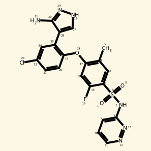 Cc1cc(S(=O)(=O)Nc2cccnn2)c(F)cc1Oc1ccc(Cl)cc1-c1c[nH]nc1N